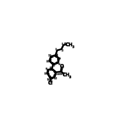 CCCCc1ccc(-c2ccc(Cl)cc2C(C)=O)cc1